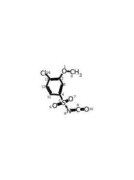 COc1cc(S(=O)(=O)N=C=O)ccc1Cl